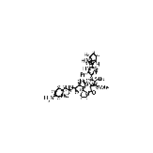 CC[C@H](C)[C@@H]([C@@H](CC(=O)N1CCC[C@H]1[C@H](OC)[C@@H](C)C(=O)N[C@H](CO)Cc1ccc(N)cc1)OC)N(C)C(=O)[C@@H](NC(=O)[C@H]1N[C@H]2CC[C@H]1[C@@H]2C)C(C)C